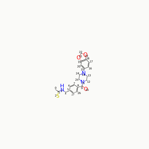 CC(=S)NCc1ccc(C(=O)N2CCN(c3ccc4c(c3)OCO4)CC2)cc1